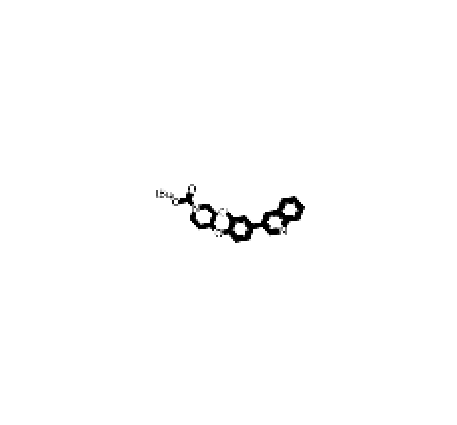 CC(C)(C)OC(=O)N1CCC(Oc2ccc(-c3cnc4ccccc4c3)cc2Cl)CC1